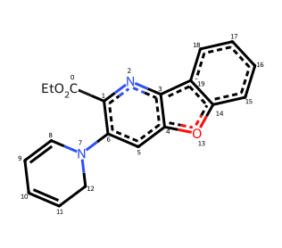 CCOC(=O)c1nc2c(cc1N1C=CC=CC1)oc1ccccc12